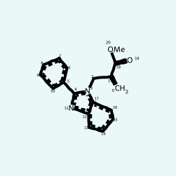 C=C(Cn1c(-c2ccccc2)nc2ccccc21)C(=O)OC